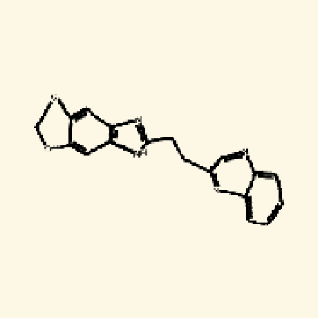 c1ccc2nc(CCc3nc4cc5c(cc4[nH]3)OCO5)cnc2c1